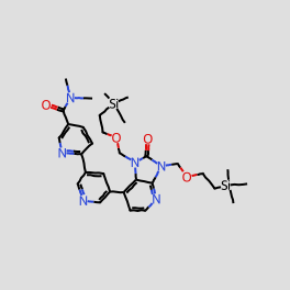 CN(C)C(=O)c1ccc(-c2cncc(-c3ccnc4c3n(COCC[Si](C)(C)C)c(=O)n4COCC[Si](C)(C)C)c2)nc1